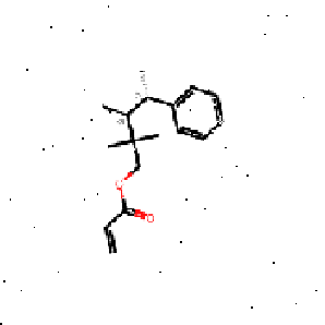 C=CC(=O)OCC(C)(C)[C@@H](C)[C@H](C)c1ccccc1